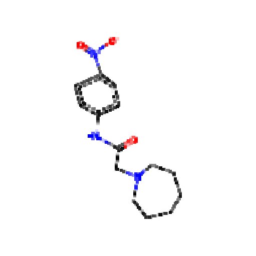 O=C(CN1CCCCCC1)Nc1ccc([N+](=O)[O-])cc1